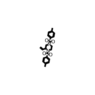 C=CC1CN(S(=O)(=O)c2ccc(C)cc2)CCN1S(=O)(=O)c1ccc(C)cc1